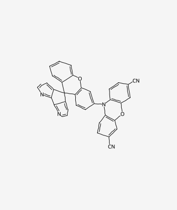 N#Cc1ccc2c(c1)Oc1cc(C#N)ccc1N2c1ccc2c(c1)Oc1ccccc1C21c2cccnc2-c2ncccc21